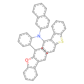 c1ccc(N(c2ccc3ccccc3c2)c2cccc3sc4ccccc4c23)c(-c2cccc3c2oc2ccccc23)c1